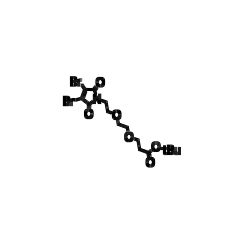 CC(C)(C)OC(=O)CCOCCOCCN1C(=O)C(Br)=C(Br)C1=O